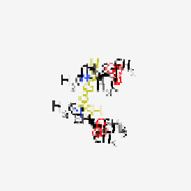 CO[Si](CCC[SH]=C(SSSSC(=[SH]CCC[Si](OC)(OC)OC)N(C)C)N(C)C)(OC)OC